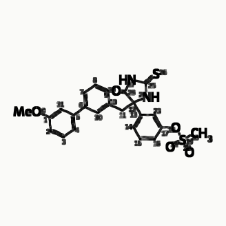 COc1cccc(-c2cccc(CC3(c4cccc(OS(C)(=O)=O)c4)NC(=S)NC3=O)c2)c1